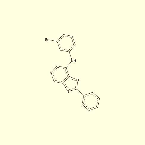 Brc1cccc(Nc2cncc3nc(-c4ccccc4)oc23)c1